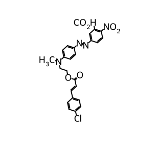 CN(CCOC(=O)C=Cc1ccc(Cl)cc1)c1ccc(N=Nc2ccc([N+](=O)[O-])c(C(=O)O)c2)cc1